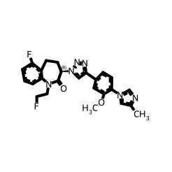 COc1cc(-c2cn([C@@H]3CCc4c(F)cccc4N(CCF)C3=O)nn2)ccc1-n1cnc(C)c1